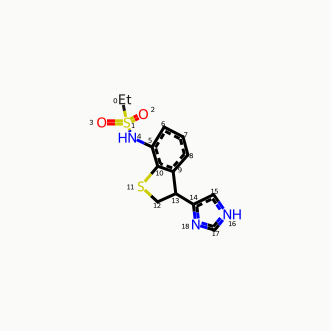 CCS(=O)(=O)Nc1cccc2c1SCC2c1c[nH]cn1